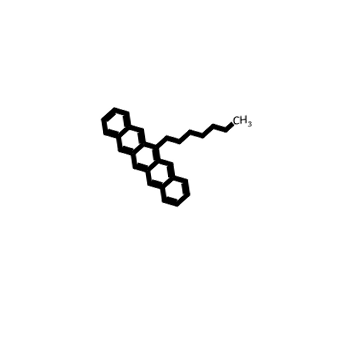 CCCCCCCc1c2cc3ccccc3cc2cc2cc3ccccc3cc12